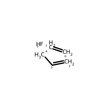 C=C.C=CC.F